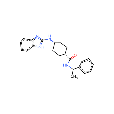 CC(NC(=O)[C@H]1CC[C@H](Nc2nc3ccccc3[nH]2)CC1)c1ccccc1